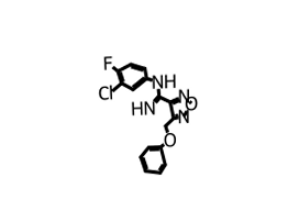 N=C(Nc1ccc(F)c(Cl)c1)c1nonc1COc1ccccc1